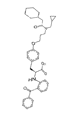 O=C(c1ccccc1)c1ccccc1N[C@@H](Cc1ccc(OCCCN(CC2CC2)C(=O)CC2CCCCC2)cc1)C(=O)O